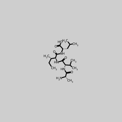 CC[C@H](C)[C@H](NC(=O)[C@@H](NC(=O)[C@H](C)N)C(C)C)C(=O)N[C@@H](CC(C)C)C(=O)O